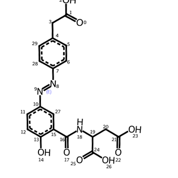 O=C(O)Cc1ccc(/N=N/c2ccc(O)c(C(=O)NC(CC(=O)O)C(=O)O)c2)cc1